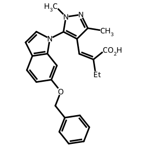 CCC(=Cc1c(C)nn(C)c1-n1ccc2ccc(OCc3ccccc3)cc21)C(=O)O